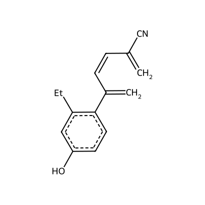 C=C(C#N)/C=C\C(=C)c1ccc(O)cc1CC